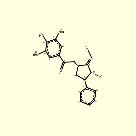 CCC[C@H]1/C(=N/Br)N(CC(=O)c2cc(C(C)(C)C)c(O)c(C(C)(C)C)c2)C[C@@H]1c1ccccc1